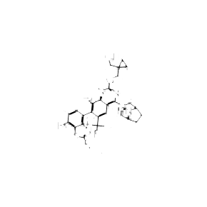 Nc1nc2c(-c3c(C(F)(F)F)cc4c(N5CC6CCC(C5)N6)nc(OCC5(CO)CC5)nc4c3F)ccc(F)c2s1